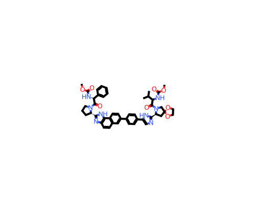 COC(=O)NC(C(=O)N1CC2(C[C@H]1c1ncc(-c3ccc(-c4ccc5c(ccc6nc([C@@H]7CCCN7C(=O)[C@H](NC(=O)OC)c7ccccc7)[nH]c65)c4)cc3)[nH]1)OCCO2)C(C)C